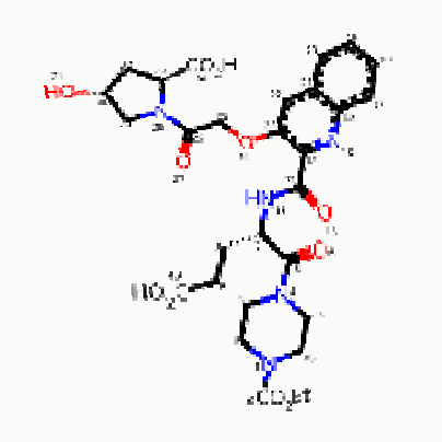 CCOC(=O)N1CCN(C(=O)[C@H](CCC(=O)O)NC(=O)c2nc3ccccc3cc2OCC(=O)N2C[C@H](O)C[C@H]2C(=O)O)CC1